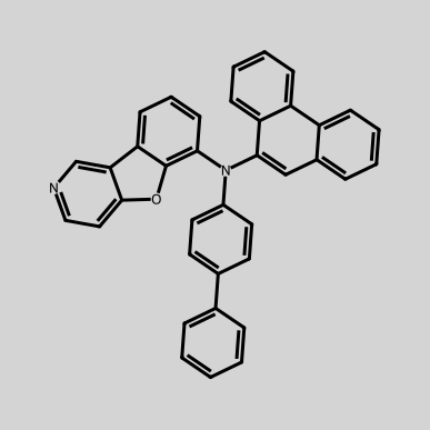 c1ccc(-c2ccc(N(c3cc4ccccc4c4ccccc34)c3cccc4c3oc3ccncc34)cc2)cc1